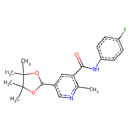 Cc1ncc(B2OC(C)(C)C(C)(C)O2)cc1C(=O)Nc1ccc(F)cc1